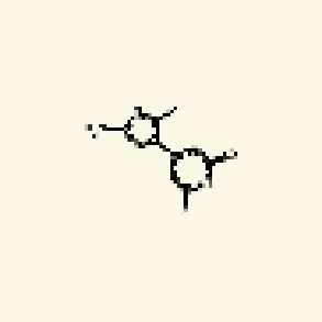 Cc1cc(-c2sc(N)nc2C)cc(=O)o1